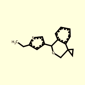 CCc1cc(C2OCC3(CC3)c3ccccc32)cs1